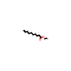 C=C/C=C/CCCC=CC(=O)OCC